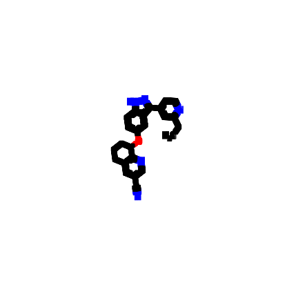 CCc1cc(-c2n[nH]c3ccc(O[C@@H]4CCCc5cc(C#N)cnc54)cc23)ccn1